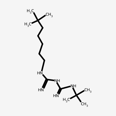 CC(C)(C)CCCCCNC(=N)NC(=N)NC(C)(C)C